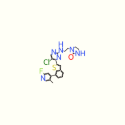 Cc1cnc(F)cc1-c1cccc2cc(-c3nc(NCCN4CCNC4=O)ncc3Cl)sc12